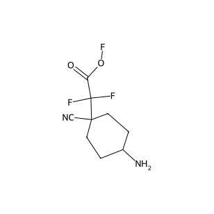 N#CC1(C(F)(F)C(=O)OF)CCC(N)CC1